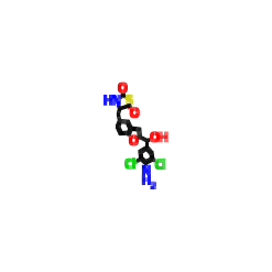 Nc1c(Cl)cc(C(O)c2cc3cc(CC4NC(=O)SC4=O)ccc3o2)cc1Cl